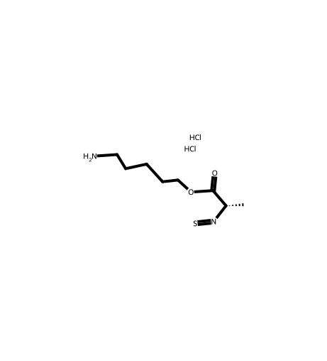 C[C@H](N=S)C(=O)OCCCCCN.Cl.Cl